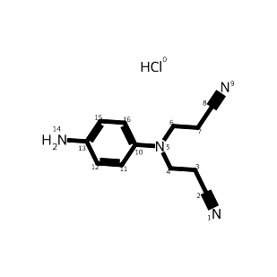 Cl.N#CCCN(CCC#N)c1ccc(N)cc1